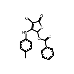 Cc1ccc(NC2=C(Cl)C(=O)OC2OC(=O)c2ccccc2)cc1